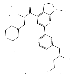 CC(C)N1NCc2c(C(=O)N(C)CC3CCOCC3)cc(-c3cccc(CN(C)CCN)c3)nc21